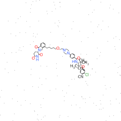 CC1(C)C(NC(=O)c2ccc(N3CCN(CCOCCCCCc4cccc5c4CN([C@@H]4CCC(=O)NC4=O)C5=O)CC3)cc2)C(C)(C)C1Oc1ccc(C#N)c(Cl)c1